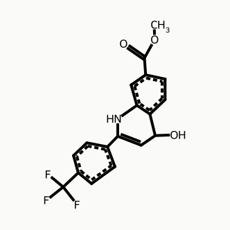 COC(=O)c1ccc2c(c1)NC(c1ccc(C(F)(F)F)cc1)=CC2O